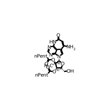 CCCCCC(=O)O[C@@H]1[C@@H](CO)O[C@@H](n2cc3c4c(ncnc42)NC(=O)C=C3N)[C@]1(C)OC(=O)CCCCC